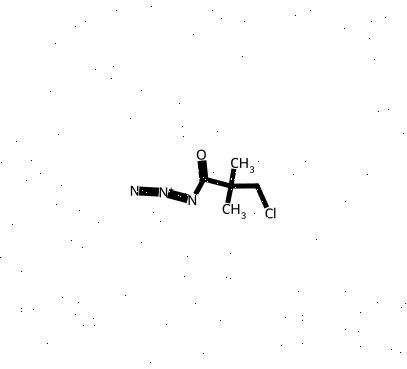 CC(C)(CCl)C(=O)N=[N+]=[N-]